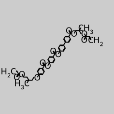 C=CC(=O)OCCC(C)CCOc1ccc(C(=O)Oc2ccc(C(=O)Oc3ccc(-c4ccc(C(=O)OCC(C)COC(=O)C=C)cc4)cc3)cc2)cc1